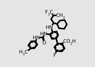 Cc1ccc(NC(=O)Nc2cc(-c3cc(F)ccc3C(=O)O)ccc2NC(CC(C)C(F)(F)F)C2CCCCC2)cc1